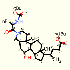 CCCC(NC(=O)OC(C)(C)C)C(=O)N1CCC2(C)C(CC(O)C3C2CCC2(C)C(C(C)CCC(=O)OC(C)(C)C)CCC32)C1